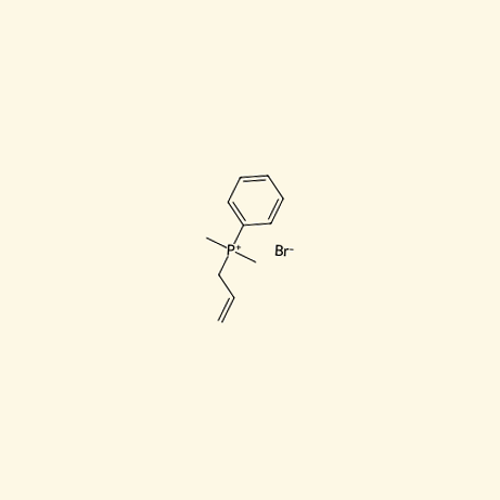 C=CC[P+](C)(C)c1ccccc1.[Br-]